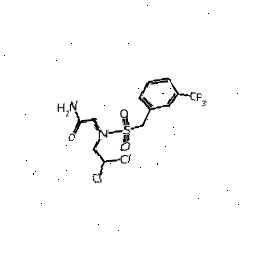 NC(=O)CN(CC(Cl)Cl)S(=O)(=O)Cc1cccc(C(F)(F)F)c1